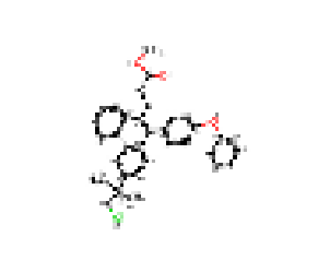 COC(=O)CC/C(=C(\c1ccc(Oc2ccccc2)cc1)c1ccc([Si](C)(C)CCl)cc1)c1ccccc1